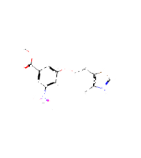 COC(=O)c1cc(OCCc2scnc2C)cc([N+](=O)[O-])c1